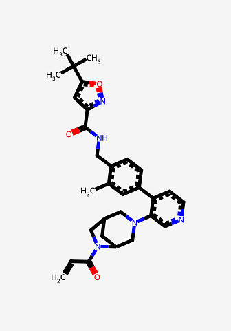 C=CC(=O)N1CC2CC1CN(c1cnccc1-c1ccc(CNC(=O)c3cc(C(C)(C)C)on3)c(C)c1)C2